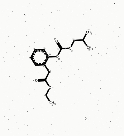 CCOC(=O)Cc1ccccc1OC(=O)OCC(C)C